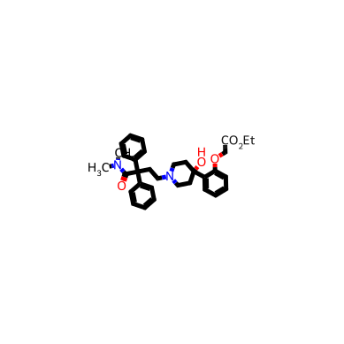 CCOC(=O)COc1ccccc1C1(O)CCN(CCC(C(=O)N(C)C)(c2ccccc2)c2ccccc2)CC1